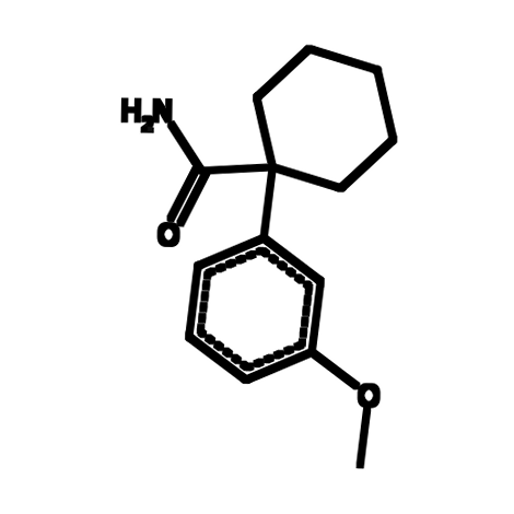 COc1cccc(C2(C(N)=O)CCCCC2)c1